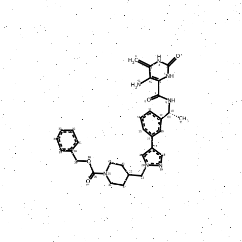 C=C1NC(=O)NC(C(=O)N[C@H](C)c2cccc(-c3cnn(CC4CCN(C(=O)OCc5ccccc5)CC4)c3)c2)=C1N